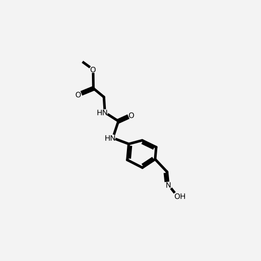 COC(=O)CNC(=O)Nc1ccc(C=NO)cc1